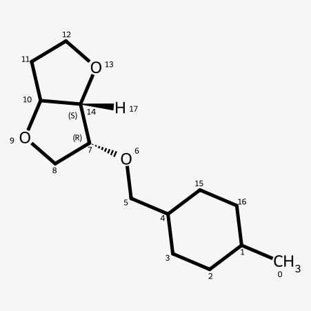 CC1CCC(CO[C@@H]2COC3CCO[C@@H]32)CC1